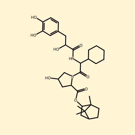 CC1(C)C2CCC1(C)C(OC(=O)C1CC(O)CN1C(=O)C(NC(=O)C(O)Cc1ccc(O)c(O)c1)C1CCCCC1)C2